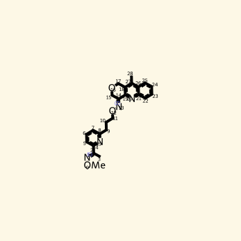 CO/N=C(\C)c1cccc(CCCO/N=C2\COCc3c2nc2ccccc2c3C)n1